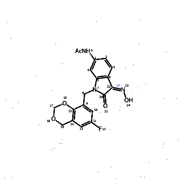 CC(=O)Nc1ccc2c(c1)N(Cc1cc(F)cc3c1OCOC3)C(=O)/C2=N\O